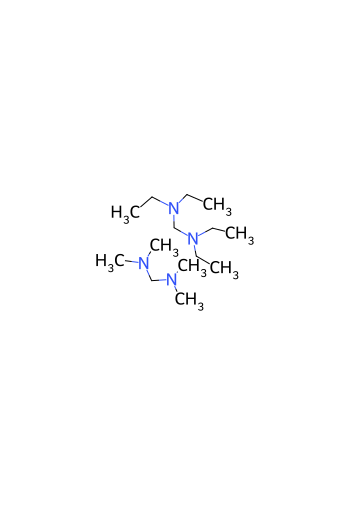 CCN(CC)CN(CC)CC.CN(C)CN(C)C